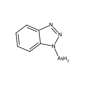 [AsH2]n1nnc2ccccc21